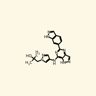 CC(C)(O)Cn1cc(Nc2nc(-c3ccc4cn[nH]c4c3)nc3cn[nH]c23)cn1